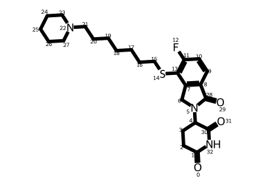 O=C1CCC(N2Cc3c(ccc(F)c3SCCCCCCCN3CCCCC3)C2=O)C(=O)N1